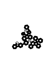 c1ccc(C2(c3ccccc3)c3ccccc3-c3c2cc(N(c2ccc(-c4ccc5c(c4)oc4ccccc45)cc2)c2cccc4c2-c2ccccc2C42c4ccccc4-n4c5ccccc5c5cccc2c54)c2ccccc32)cc1